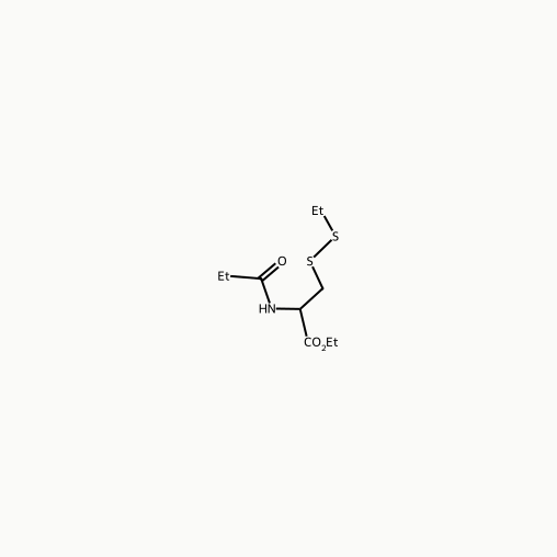 CCOC(=O)C(CSSCC)NC(=O)CC